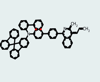 C=C/C=c1\c(=C)nc(-c2ccc(-c3ccc(N(c4ccc5c(c4)C4(c6ccccc6-c6ccccc64)c4ccccc4-5)c4ccccc4-c4ccccc4)cc3)cc2)c2ccccc12